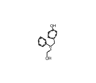 OCCN(Cc1ccc(O)cc1)c1ccccc1